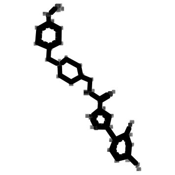 O=C(NCC1CCN(Cc2ccc(OC(F)(F)F)cc2)CC1)c1cc(-c2ccc(F)cc2F)on1